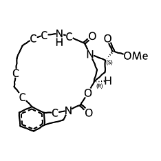 COC(=O)[C@@H]1C[C@@H]2CN1C(=O)CNCCCCCCCc1cccc3c1CN(C3)C(=O)O2